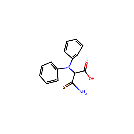 NC(=S)C(C(=O)O)N(c1ccccc1)c1ccccc1